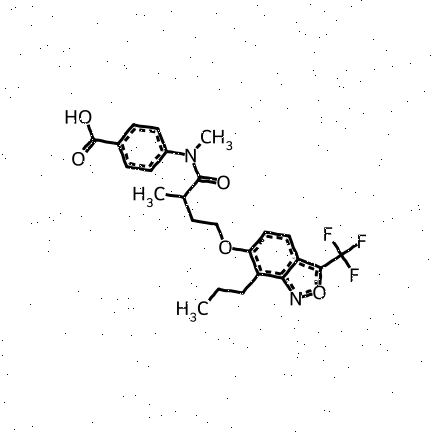 CCCc1c(OCCC(C)C(=O)N(C)c2ccc(C(=O)O)cc2)ccc2c(C(F)(F)F)onc12